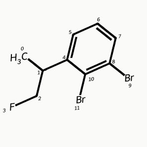 C[C](CF)c1cccc(Br)c1Br